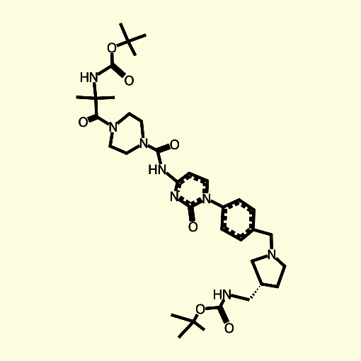 CC(C)(C)OC(=O)NC[C@H]1CCN(Cc2ccc(-n3ccc(NC(=O)N4CCN(C(=O)C(C)(C)NC(=O)OC(C)(C)C)CC4)nc3=O)cc2)C1